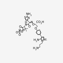 C[n+]1cc(-c2ccc(OC[C@H](O/N=C(\C(=O)N[C@@H]3C(=O)N(OS(=O)(=O)[O-])C3(C)C)c3csc(N)n3)C(=O)O)cc2)c(N)n1CCCN